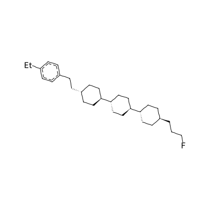 CCc1ccc(CC[C@H]2CC[C@H]([C@H]3CC[C@H]([C@H]4CC[C@H](CCCF)CC4)CC3)CC2)cc1